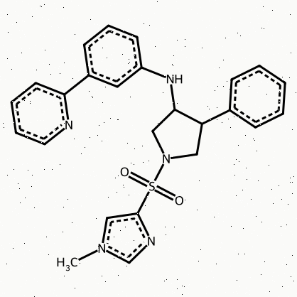 Cn1cnc(S(=O)(=O)N2CC(Nc3cccc(-c4ccccn4)c3)C(c3ccccc3)C2)c1